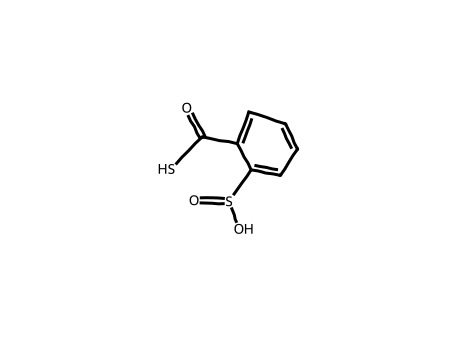 O=C(S)c1ccccc1S(=O)O